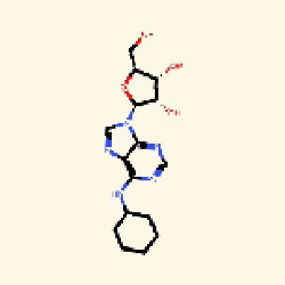 OC[C@@H]1O[C@H](n2cnc3c(NC4CCCCC4)ncnc32)[C@@H](O)[C@H]1O